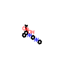 C=C(C)C(=O)Oc1cc2ccccc2c(/N=N/c2ccc(/N=N/c3ccccc3)cc2)c1O